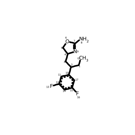 CCC(CC1COC(N)=N1)c1cc(F)cc(F)c1